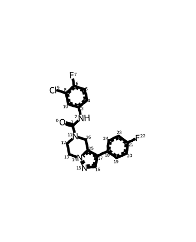 O=C(Nc1ccc(F)c(Cl)c1)N1CCn2ncc(-c3ccc(F)cc3)c2C1